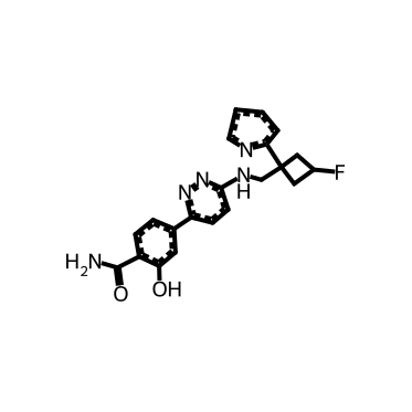 NC(=O)c1ccc(-c2ccc(NCC3(c4ccccn4)CC(F)C3)nn2)cc1O